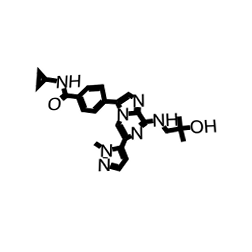 Cn1nccc1-c1cn2c(-c3ccc(C(=O)NC4CC4)cc3)cnc2c(NCC(C)(C)O)n1